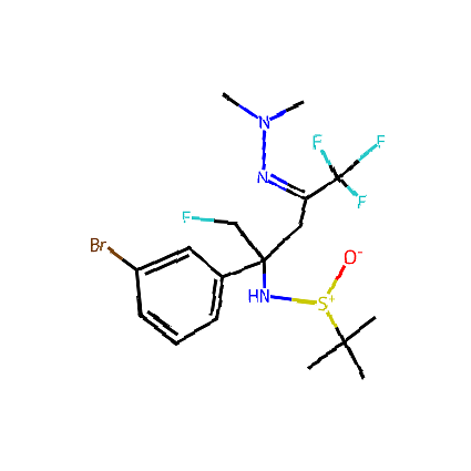 CN(C)/N=C(/CC(CF)(N[S+]([O-])C(C)(C)C)c1cccc(Br)c1)C(F)(F)F